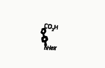 CCCCCCC#Cc1ccc(C2CCC(C(=O)O)C2)cc1